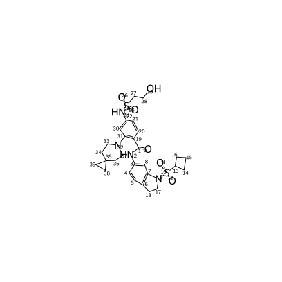 O=C(Nc1ccc2c(c1)N(S(=O)(=O)C1CCC1)CC2)c1ccc(NS(=O)(=O)CCO)cc1N1CCC2(CC1)CC2